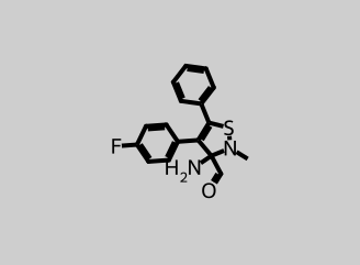 CN1SC(c2ccccc2)=C(c2ccc(F)cc2)C1(N)C=O